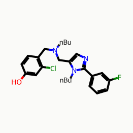 CCCCN(Cc1ccc(O)cc1Cl)Cc1cnc(-c2cccc(F)c2)n1CCCC